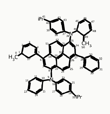 CC1C=CC=C(c2cc(N(c3ccccc3)c3ccc(C(C)C)cc3)c3ccc4c(-c5ccccc5)cc(N(c5ccc(C(C)C)cc5)C5C=CC=CC5C)c5ccc2c3c45)C1